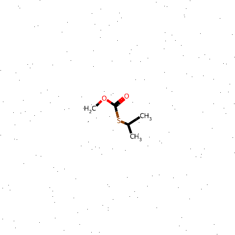 [CH2]OC(=O)SC(C)C